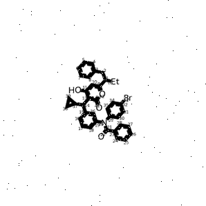 CCC(Cc1ccccc1)c1cc(O)c(C(c2cccc(N(C(=O)c3ccccc3)c3ccc(Br)cc3)c2)C2CC2)c(=O)o1